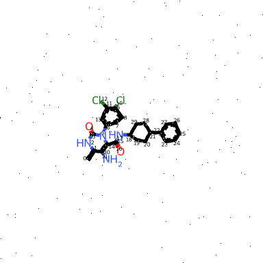 C=C1NC(=O)N(c2ccc(Cl)c(Cl)c2)C(C(=O)NC2CCC(c3ccccc3)CC2)=C1N